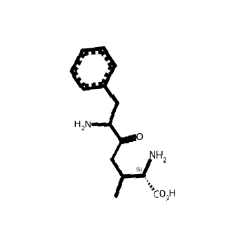 CC(CC(=O)C(N)Cc1ccccc1)[C@H](N)C(=O)O